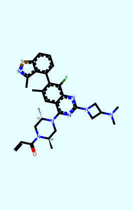 C=CC(=O)N1C[C@H](C)N(c2nc(N3CC(N(C)C)C3)nc3c(F)c(-c4cccc5snc(C)c45)c(C)cc23)C[C@H]1C